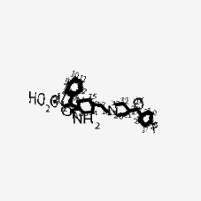 NC(=O)C1(C2CN(C(=O)O)c3ccccc32)CCC(CCN2CCC(C(=O)c3ccc(F)cc3)CC2)CC1